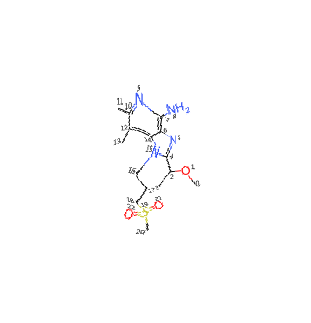 COC(C)c1nc2c(N)nc(C)c(C)c2n1CCCS(C)(=O)=O